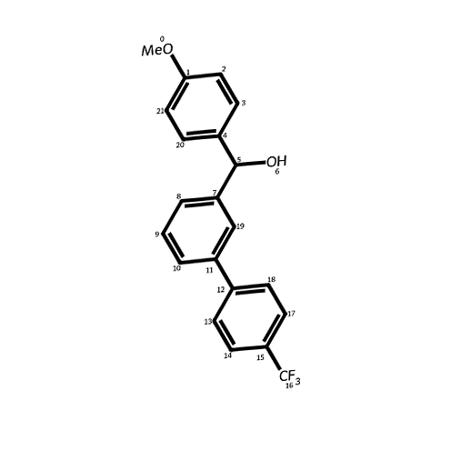 COc1ccc(C(O)c2cccc(-c3ccc(C(F)(F)F)cc3)c2)cc1